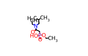 CCOP(=O)(O)CC(=O)N(CC)CC(C)C